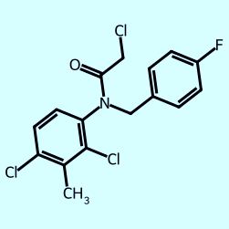 Cc1c(Cl)ccc(N(Cc2ccc(F)cc2)C(=O)CCl)c1Cl